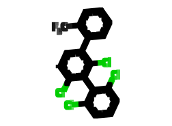 FC(F)(F)c1ccccc1-c1c[c]c(Cl)c(-c2c(Cl)cccc2Cl)c1Cl